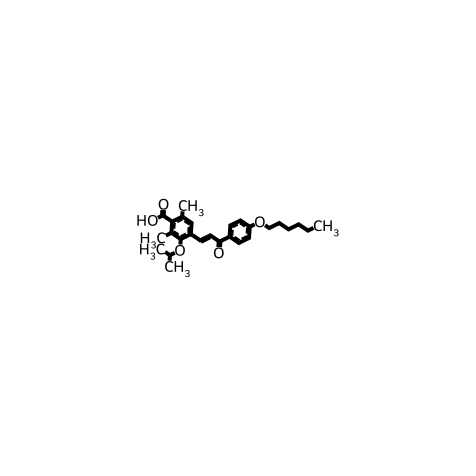 CCCCCCOc1ccc(C(=O)/C=C/c2cc(C)c(C(=O)O)c(C)c2OC(C)C)cc1